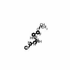 CN(C)CCOc1cc(F)cc(-c2cccc3[nH]c(-c4n[nH]c5cnc(-c6cncc(CN7CCCCC7)c6)cc45)nc23)c1